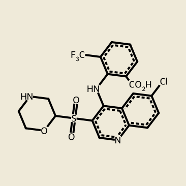 O=C(O)c1cccc(C(F)(F)F)c1Nc1c(S(=O)(=O)C2CNCCO2)cnc2ccc(Cl)cc12